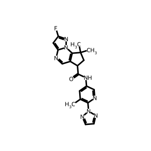 Cc1cc(NC(=O)C2CC(C)(C)c3c2cnc2cc(F)nn32)cnc1-n1nccn1